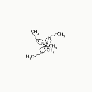 C=C(C)[Si](N1CCN(CCCC)CC1)(N1CCN(CCCC)CC1)N1CCN(CCCC)CC1